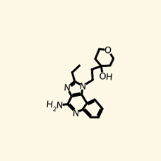 CCc1nc2c(N)nc3ccccc3c2n1CCC1(O)CCOCC1